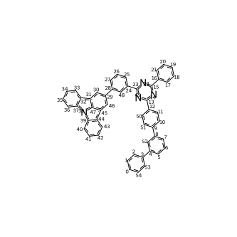 c1ccc(-c2cccc(-c3ccc(-c4nc(-c5ccccc5)nc(-c5cccc(-c6cc7c8ccccc8n8c9ccccc9c(c6)c78)c5)n4)cc3)c2)cc1